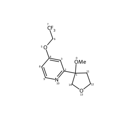 COC1(c2cc(OCC(F)(F)F)ccn2)CCOC1